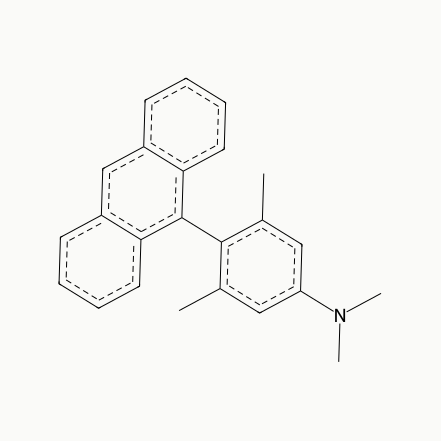 Cc1cc(N(C)C)cc(C)c1-c1c2ccccc2cc2ccccc12